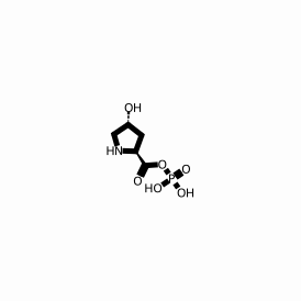 O=C(OP(=O)(O)O)[C@@H]1C[C@@H](O)CN1